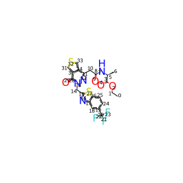 CCOC(=O)[C@H](C)NC(=O)Cc1nn(Cc2nc3cc(C(F)(F)F)ccc3s2)c(=O)c2cscc12